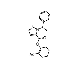 CC(=O)C1=C(OC(=O)c2ccnn2[C@H](C)c2ccccc2)CCCC1